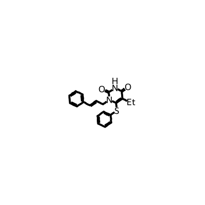 CCc1c(Sc2ccccc2)n(CC=Cc2ccccc2)c(=O)[nH]c1=O